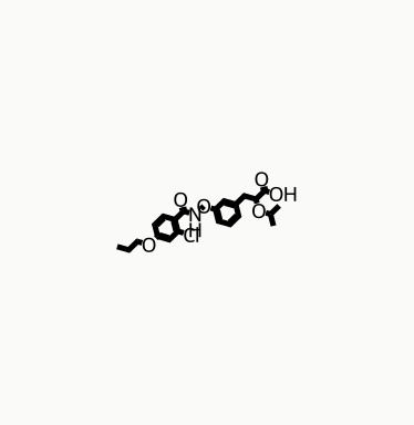 CCCOc1ccc(C(=O)NOc2cccc(CC(OC(C)C)C(=O)O)c2)c(Cl)c1